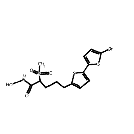 CS(=O)(=O)C(CCCc1ccc(-c2ccc(Br)s2)s1)C(=O)NO